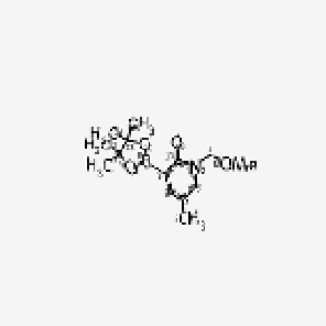 COCn1cc(C)cc(B2OC(C)(C)C(C)(C)O2)c1=O